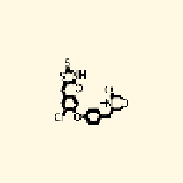 CN1C(=O)COCC1Cc1ccc(Oc2ccc(C=C3SC(=S)NC3=O)cc2Cl)cc1